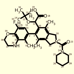 Cc1c(-c2c(C)c3c(c(C)c2C(OC(C)(C)C)C(=O)O)CN(C(=O)N2CCCCC2)C3)cc(F)c2c1NCCO2